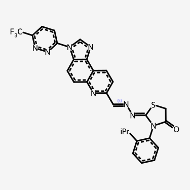 CC(C)c1ccccc1N1C(=O)CSC1=N/N=C/c1ccc2c(ccc3c2ncn3-c2ccc(C(F)(F)F)nn2)n1